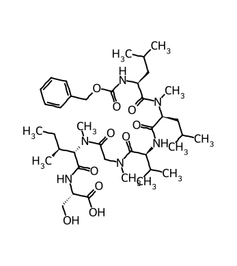 CC[C@H](C)[C@@H](C(=O)N[C@@H](CO)C(=O)O)N(C)C(=O)CN(C)C(=O)[C@@H](NC(=O)[C@H](CC(C)C)N(C)C(=O)[C@H](CC(C)C)NC(=O)OCc1ccccc1)C(C)C